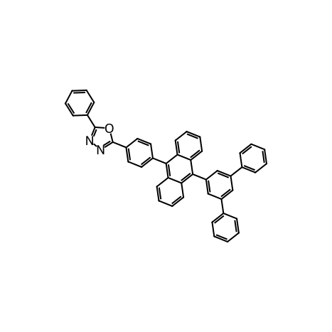 c1ccc(-c2cc(-c3ccccc3)cc(-c3c4ccccc4c(-c4ccc(-c5nnc(-c6ccccc6)o5)cc4)c4ccccc34)c2)cc1